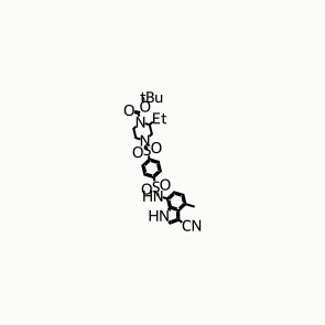 CCC1CN(S(=O)(=O)c2ccc(S(=O)(=O)Nc3ccc(C)c4c(C#N)c[nH]c34)cc2)CCN1C(=O)OC(C)(C)C